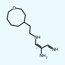 N=C/C(N)=C\NCCC1CCCCOCC1